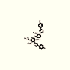 CC(=O)OC[C@H]1O[C@@H](S[C@@H]2CCC[C@H](n3cc(-c4ccc(F)cc4)nn3)[C@H]2OC(C)=O)[C@H](OC(C)=O)[C@@H](n2cc(-c3ccc(F)cc3)nn2)[C@H]1OC(C)=O